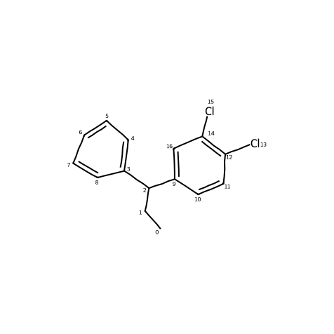 CCC(c1ccccc1)c1ccc(Cl)c(Cl)c1